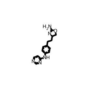 NC1=NC(CCc2ccc(Nc3ccncn3)cc2)CO1